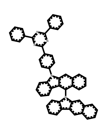 c1ccc(-c2nc(-c3ccccc3)nc(-c3ccc(-n4c5ccccc5c5c(-n6c7ccccc7c7cc8ccccc8cc76)c6ccccc6cc54)cc3)n2)cc1